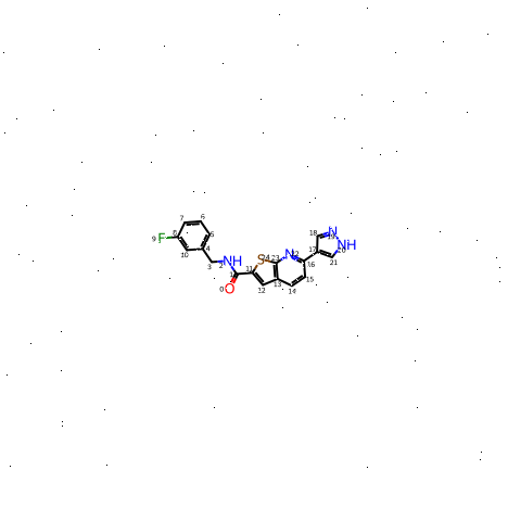 O=C(NCc1cccc(F)c1)c1cc2ccc(-c3cn[nH]c3)nc2s1